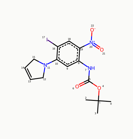 CC(C)(C)OC(=O)Nc1cc(N2CC=CC2)c(I)cc1[N+](=O)[O-]